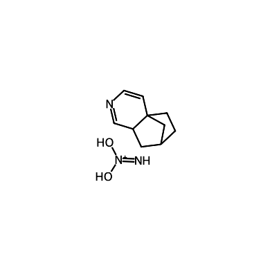 C1=CC23CCC(CC2C=N1)C3.N=[N+](O)O